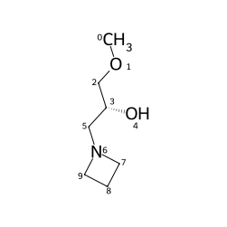 COC[C@H](O)CN1CCC1